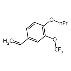 C=Cc1ccc(OCCC)c(OC(F)(F)F)c1